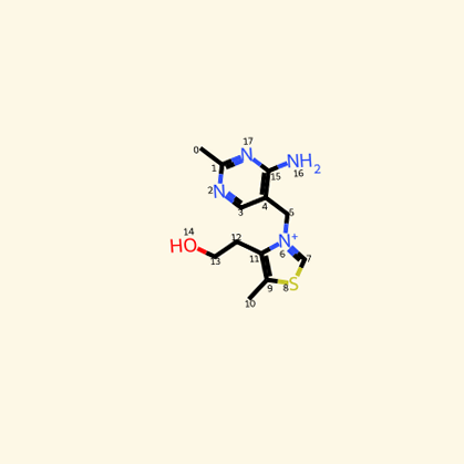 Cc1ncc(C[n+]2csc(C)c2CCO)c(N)n1